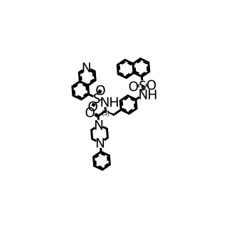 O=C([C@H](Cc1ccc(NS(=O)(=O)c2cccc3ccccc23)cc1)NS(=O)(=O)c1cccc2cnccc12)N1CCN(c2ccccc2)CC1